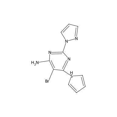 Nc1nc(-n2cccn2)nc([SH]2C=CC=C2)c1Br